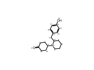 O=C1CCC(N2CCCCC2Cc2ccc(O)cc2)CC1